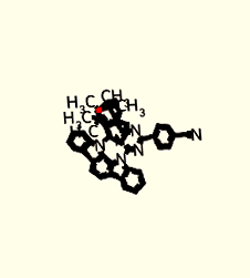 CC1C(C)(C)c2cccc(-n3c4ccccc4c4ccc5c6ccccc6n(-c6nc(-c7ccccc7)nc(-c7ccc(C#N)cc7)n6)c5c43)c2C1(C)C